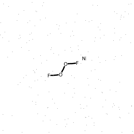 FOOF.[N]